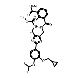 COC(=O)c1cccc(C(=O)NCc2nc(-c3ccc(OC(F)F)c(OCC4CC4)c3)oc2[C@H](C)NC(=O)OC(C)(C)C)c1F